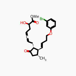 COC(=O)C(O)CC=C=CC[C@H]1C(=O)C[C@@H](C)[C@@H]1/C=C/CCOc1cccc(Br)c1